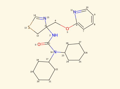 O=C(NC1(COc2ccccn2)CSC=N1)N(C1CCCCC1)C1CCCCC1